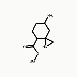 CC(C)(C)OC(=O)C1CCC(N)CC12CN2